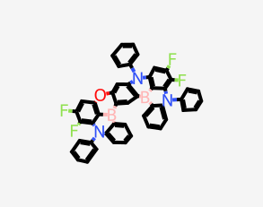 Fc1cc2c3c(c1F)N(c1ccccc1)c1ccccc1B3c1cc3c(cc1O2)N(c1ccccc1)c1cc(F)c(F)c2c1B3c1ccccc1N2c1ccccc1